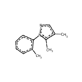 Cc1ccccc1-n1ncc(C)c1C